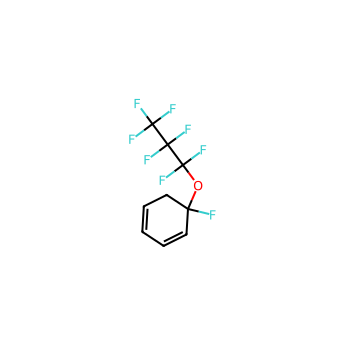 FC1(OC(F)(F)C(F)(F)C(F)(F)F)C=CC=CC1